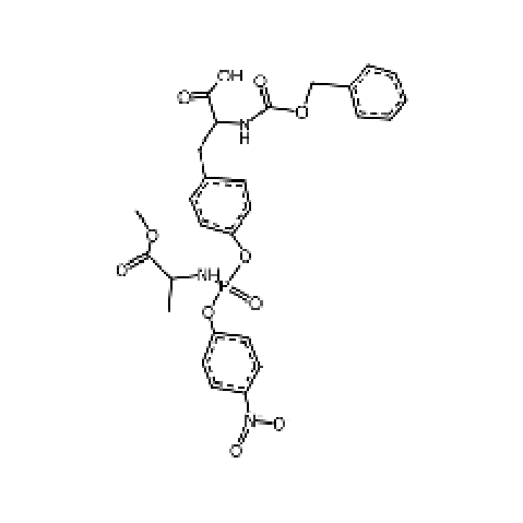 COC(=O)C(C)NP(=O)(Oc1ccc(CC(NC(=O)OCc2ccccc2)C(=O)O)cc1)Oc1ccc([N+](=O)[O-])cc1